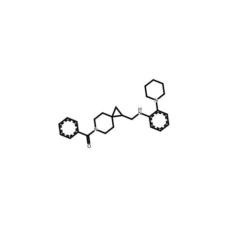 O=C(c1ccccc1)N1CCC2(CC1)CC2CNc1ccccc1N1CCCCC1